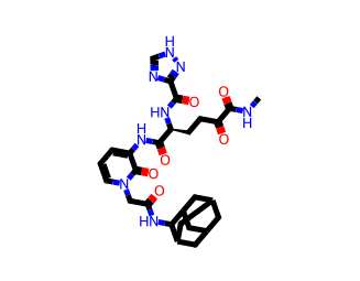 CNC(=O)C(=O)CC[C@H](NC(=O)c1nc[nH]n1)C(=O)Nc1cccn(CC(=O)NC2C3CC4CC(C3)CC2C4)c1=O